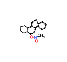 C[N+](=O)[O-].c1ccc2c(c1)ccc1c3c(ccc12)CCCC3